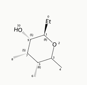 CC[C@H]1OC(C)[C@H](C)[C@H](C)[C@@H]1O